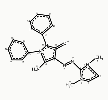 Cn1cc[n+](C)c1/N=N/c1c(N)n(-c2ccccc2)n(-c2ccccc2)c1=O